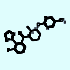 C[C@H]1[C@H](Oc2ncc(C(F)(F)F)cn2)CCCN1C(=O)c1cccc(F)c1-n1nccn1